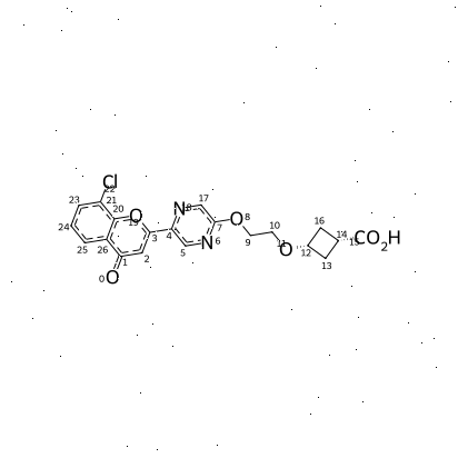 O=c1cc(-c2cnc(OCCO[C@H]3C[C@@H](C(=O)O)C3)cn2)oc2c(Cl)cccc12